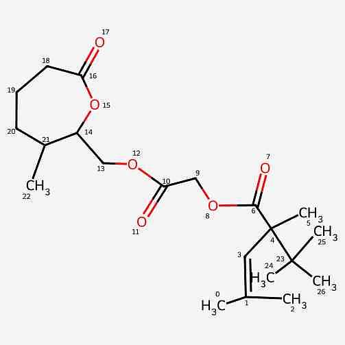 CC(C)=CC(C)(C(=O)OCC(=O)OCC1OC(=O)CCCC1C)C(C)(C)C